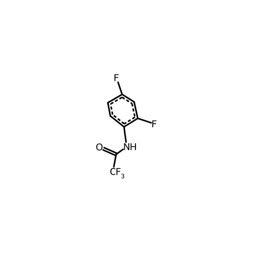 O=C(Nc1ccc(F)cc1F)C(F)(F)F